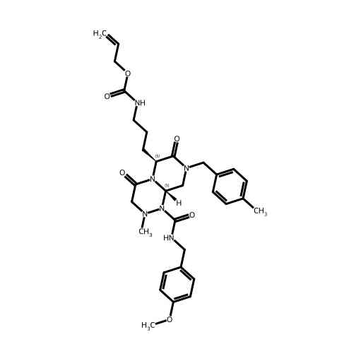 C=CCOC(=O)NCCC[C@H]1C(=O)N(Cc2ccc(C)cc2)C[C@H]2N1C(=O)CN(C)N2C(=O)NCc1ccc(OC)cc1